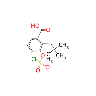 CC(C)(C)Cc1c(OS(=O)(=O)Cl)cccc1C(=O)O